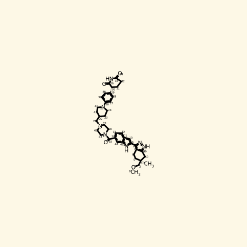 COC[C@@]1(C)CCc2c(-c3cc4ccc(C(=O)N5CCN(CC6CCN(c7ccc([C@H]8CCC(=O)NC8=O)cc7)CC6)CC5)cc4[nH]3)n[nH]c2C1